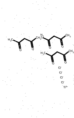 CC(=O)CC(C)=O.CC(=O)CC(C)=O.CC(=O)CC(C)=O.[Cl-].[Cl-].[Cl-].[Cl-].[Ti+4]